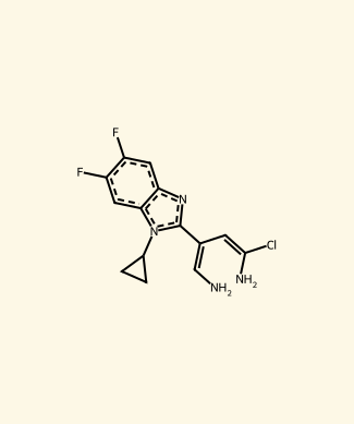 N/C=C(\C=C(/N)Cl)c1nc2cc(F)c(F)cc2n1C1CC1